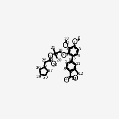 COc1ccc(-c2ccc3c(c2)COC3=O)c(OCC(C)(C)OC(=O)CC2CCCC2)c1OC